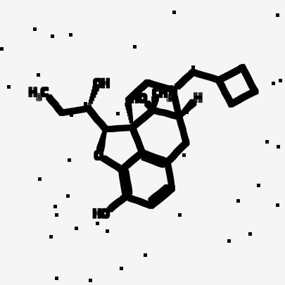 CC[C@H](O)[C@@H]1Oc2c(O)ccc3c2[C@@]12CCN(CC1CCC1)[C@H](C3)[C@@]2(C)O